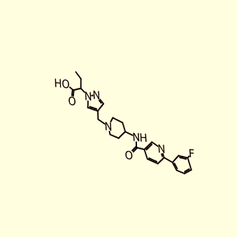 CCC(C(=O)O)n1cc(CN2CCC(NC(=O)c3ccc(-c4cccc(F)c4)nc3)CC2)cn1